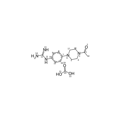 CC(=O)N1CCN(c2ccc(NC(=N)N)cc2)CC1.O=C(O)O